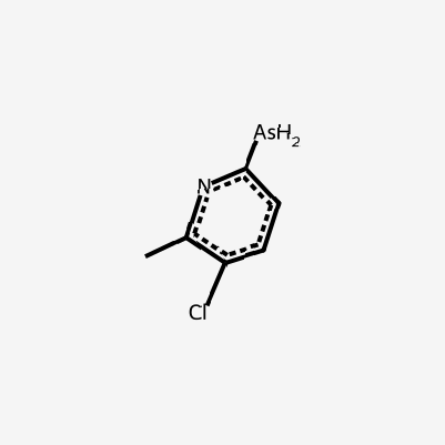 Cc1nc([AsH2])ccc1Cl